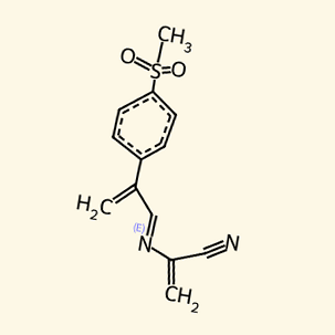 C=C(C#N)/N=C/C(=C)c1ccc(S(C)(=O)=O)cc1